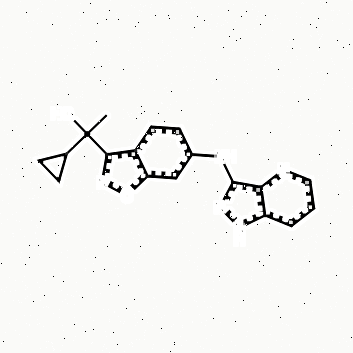 CC(O)(c1noc2cc(Nc3n[nH]c4cccnc34)ccc12)C1CC1